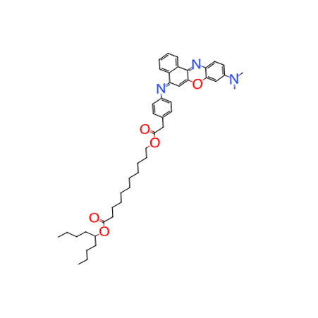 CCCCC(CCCC)OC(=O)CCCCCCCCCCOC(=O)Cc1ccc(N=c2cc3oc4cc(N(C)C)ccc4nc-3c3ccccc23)cc1